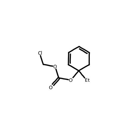 CCC1(OC(=O)OCCl)C=CC=CC1